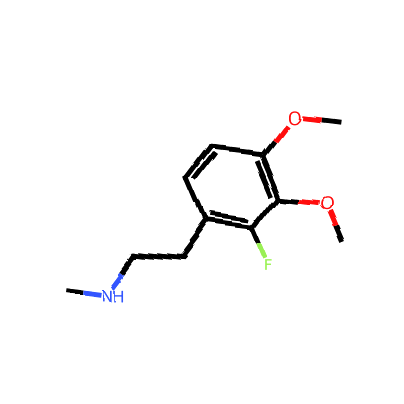 CNCCc1ccc(OC)c(OC)c1F